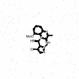 COc1cccc2nc(C)c(=N)n(C(=N)c3c(Cl)cnn3C)c12